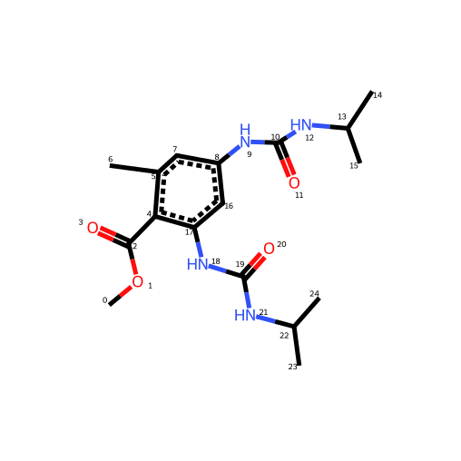 COC(=O)c1c(C)cc(NC(=O)NC(C)C)cc1NC(=O)NC(C)C